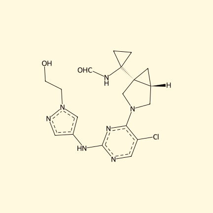 O=CNC1([C@]23C[C@@H]2CN(c2nc(Nc4cnn(CCO)c4)ncc2Cl)C3)CC1